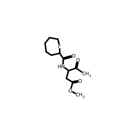 COC(=O)CC(NC(=O)C1CCCCCC1)C(C)=O